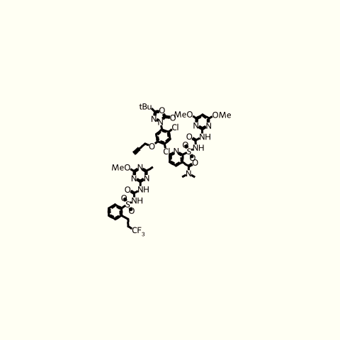 C#CCOc1cc(-n2nc(C(C)(C)C)oc2=O)c(Cl)cc1Cl.COc1cc(OC)nc(NC(=O)NS(=O)(=O)c2ncccc2C(=O)N(C)C)n1.COc1nc(C)nc(NC(=O)NS(=O)(=O)c2ccccc2CCC(F)(F)F)n1